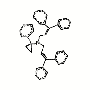 C(CN(CC=C(c1ccccc1)c1ccccc1)C1(c2ccccc2)CC1)=C(c1ccccc1)c1ccccc1